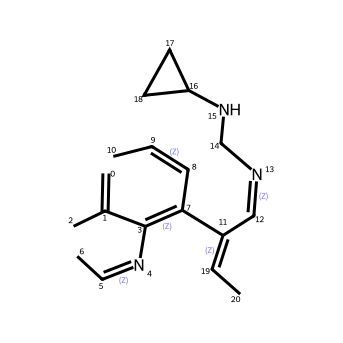 C=C(C)C(/N=C\C)=C(\C=C/C)C(/C=N\CNC1CC1)=C/C